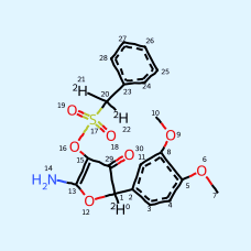 [2H]C1(c2ccc(OC)c(OC)c2)OC(N)=C(OS(=O)(=O)C([2H])([2H])c2ccccc2)C1=O